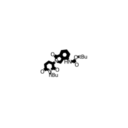 CCCCN1C(=O)CCC(N2Cc3c(NC(=O)OC(C)(C)C)cccc3C2=O)C1=O